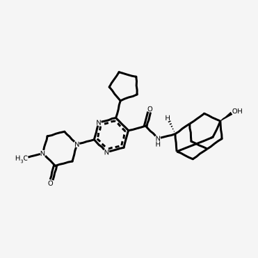 CN1CCN(c2ncc(C(=O)N[C@H]3C4CC5CC3C[C@@](O)(C5)C4)c(C3CCCC3)n2)CC1=O